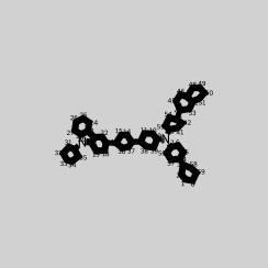 c1ccc(-c2ccc(N(c3ccc(-c4ccc(-c5ccc6c(c5)c5ccccc5n6-c5ccccc5)cc4)cc3)c3ccc(-c4ccc5ccccc5c4)cc3)cc2)cc1